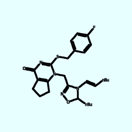 CCCCC=CN1C(Cn2c(SCc3ccc(F)cc3)nc(=O)c3c2CCC3)=NOC1CCCC